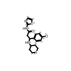 O=C(CC(NC1CCSCC1)c1ccc(Cl)cc1)Nc1nccs1